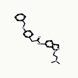 CN(C)CCn1ncc2ccc(NC(=O)Cc3ccc(OCc4ccccc4)cc3)cc21